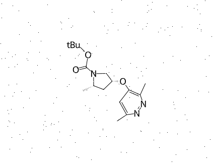 Cc1cc(O[C@@H]2C[C@H](C)N(C(=O)OC(C)(C)C)C2)c(C)nn1